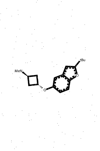 CN[C@H]1C[C@H](Oc2ccc3oc(C(C)(C)C)cc3c2)C1